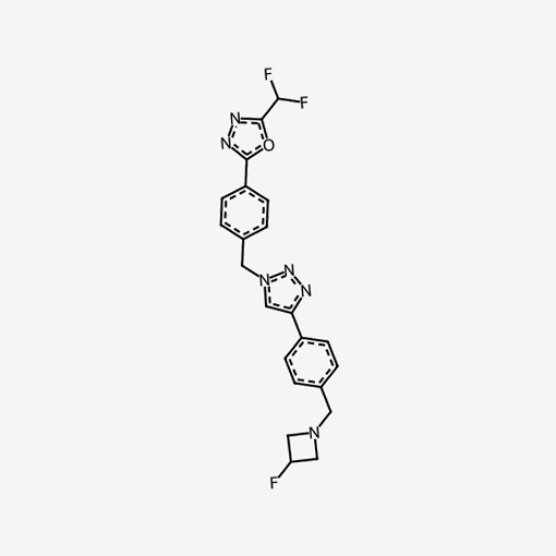 FC1CN(Cc2ccc(-c3cn(Cc4ccc(-c5nnc(C(F)F)o5)cc4)nn3)cc2)C1